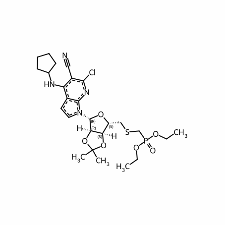 CCOP(=O)(CSC[C@H]1O[C@@H](n2ccc3c(NC4CCCC4)c(C#N)c(Cl)nc32)[C@@H]2OC(C)(C)O[C@@H]21)OCC